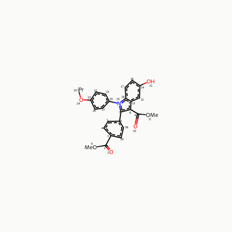 COC(=O)c1ccc(-c2c(C(=O)OC)c3cc(O)ccc3n2-c2ccc(OC(C)C)cc2)cc1